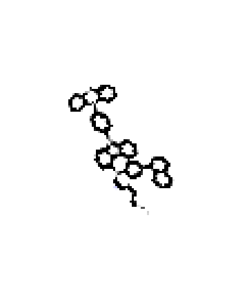 C=C/C=C\C=C/N(c1ccc(-c2cccc3ccccc23)cc1)c1cccc2c1c1ccccc1n2-c1ccc(N2c3ccccc3Oc3ccccc32)cc1